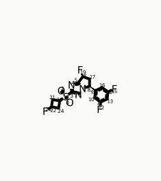 O=S(=O)(c1nc2n(n1)[C@H](c1cc(F)cc(F)c1)C[C@@H]2F)C1CC(F)C1